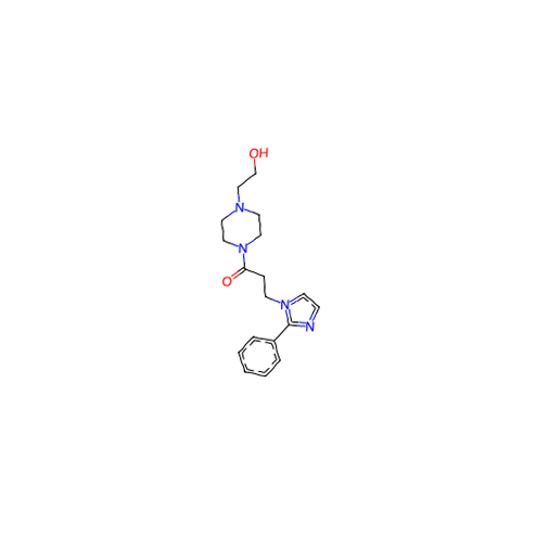 O=C(CCn1ccnc1-c1ccccc1)N1CCN(CCO)CC1